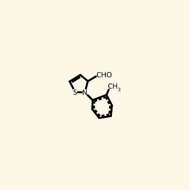 Cc1ccccc1N1SC=CC1C=O